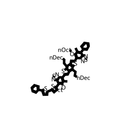 CCCCCCCCCCCCc1c2cc(-c3c(OCCCCCCCC)c(C)c(-c4ccccc4)c4nsnc34)sc2c(CCCCCCCCCCCC)c2cc(-c3c(C)c(OCCCCCCCC)c(-c4ccc(-c5ccc(-c6ccccc6)s5)s4)c4nsnc34)sc12